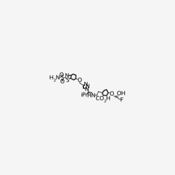 CC(C)[C@H](CNC(Cc1ccc(OC[C@H](O)CF)cc1)C(=O)O)n1cc(COc2ccc3nc(S(N)(=O)=O)sc3c2)nn1